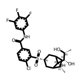 C[C@H]1CC2C[C@@H](S(=O)(=O)c3cc(C(=O)Nc4cc(F)c(F)c(F)c4)ccc3Cl)CC1[C@@]2(O)[C@@H](O)[C@@H](C)O